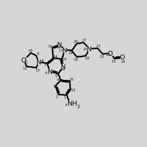 Nc1ccc(-c2nc(N3CCOCC3)c3cnn(C4CCN(CCOC=O)CC4)c3n2)cc1